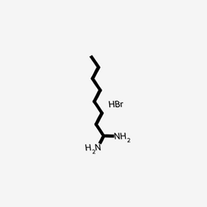 Br.CCCCCCCC(N)N